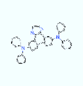 c1ccc(N(c2ccccc2)c2ccc3c4ccc(N(c5ccccc5)c5ccccc5)cc4c4nccnc4c3c2)cc1